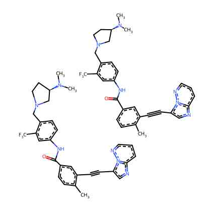 Cc1ccc(C(=O)Nc2ccc(CN3CC[C@@H](N(C)C)C3)c(C(F)(F)F)c2)cc1C#Cc1cnc2cccnn12.Cc1ccc(C(=O)Nc2ccc(CN3CC[C@@H](N(C)C)C3)c(C(F)(F)F)c2)cc1C#Cc1cnc2cccnn12